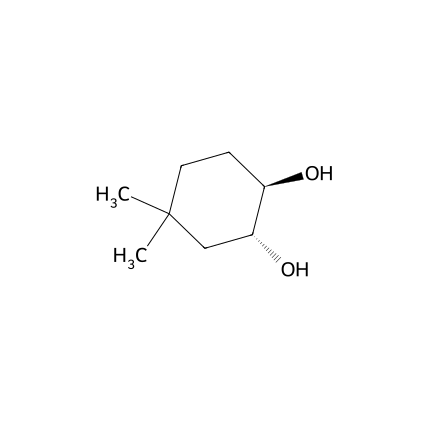 CC1(C)CC[C@@H](O)[C@H](O)C1